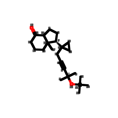 CC(C)(C#CCC1([C@H]2CCC3C(=O)CCCC32C)CC1)O[Si](C)(C)C